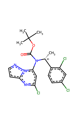 C[C@H](c1ccc(Cl)cc1Cl)N(C(=O)OC(C)(C)C)c1cc(Cl)nc2ccnn12